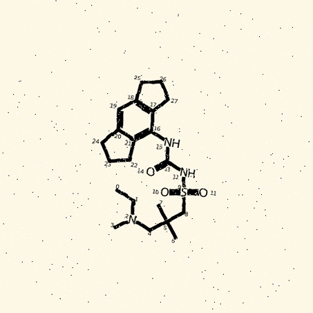 CCN(C)CC(C)(C)CS(=O)(=O)NC(=O)Nc1c2c(cc3c1CCC3)CCC2